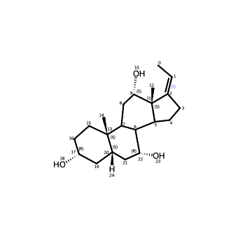 C/C=C1/CCC2C3C(C[C@H](O)[C@]12C)[C@@]1(C)CC[C@@H](O)C[C@H]1C[C@H]3O